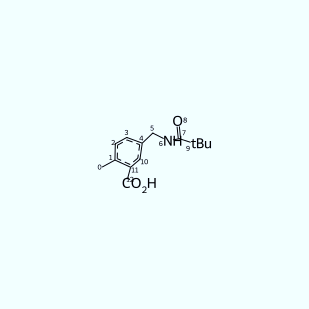 Cc1ccc(CNC(=O)C(C)(C)C)cc1C(=O)O